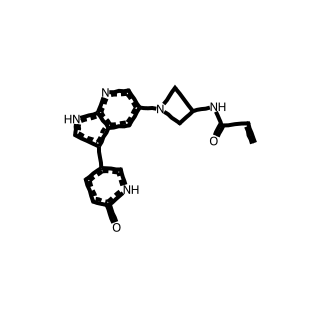 C=CC(=O)NC1CN(c2cnc3[nH]cc(-c4ccc(=O)[nH]c4)c3c2)C1